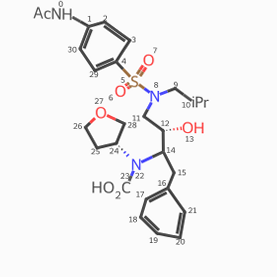 CC(=O)Nc1ccc(S(=O)(=O)N(CC(C)C)C[C@H](O)C(Cc2ccccc2)N(C(=O)O)[C@@H]2CCOC2)cc1